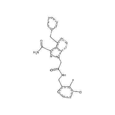 NC(=O)c1nn(CC(=O)NCc2cccc(Cl)c2F)c2cccc(Cc3ccccc3)c12